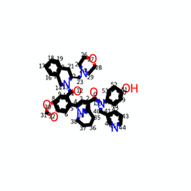 O=C(c1cc(-c2cc3c(cc2C(=O)N2Cc4ccccc4C[C@H]2CN2CCOCC2)OCO3)n2c1CCCC2)N(Cc1cccnc1)c1ccc(O)cc1